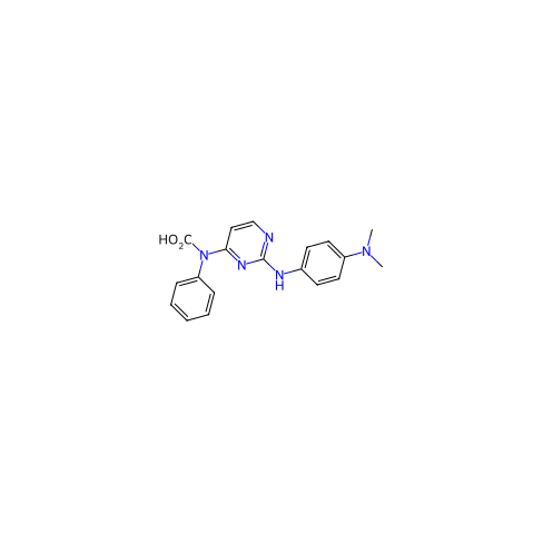 CN(C)c1ccc(Nc2nccc(N(C(=O)O)c3ccccc3)n2)cc1